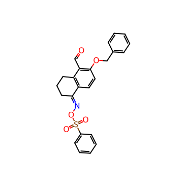 O=Cc1c(OCc2ccccc2)ccc2c1CCCC2=NOS(=O)(=O)c1ccccc1